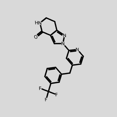 O=C1NCCc2nn(-c3cc(Cc4cccc(C(F)(F)F)c4)ccn3)cc21